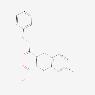 CC(C)(C)OC(=O)[C@H]1Cc2cc([N+](=O)[O-])ccc2CC1C(=O)NCc1ccccc1